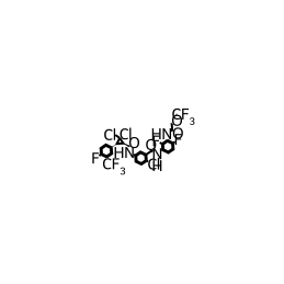 O=C(COC(F)(F)F)Nc1c(F)ccc(NC(=O)c2cc(NC(=O)[C@H]3[C@H](c4ccc(F)c(C(F)(F)F)c4)C3(Cl)Cl)ccc2Cl)c1F